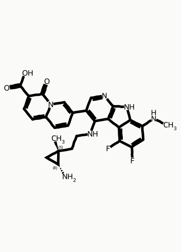 CNc1cc(F)c(F)c2c1[nH]c1ncc(-c3ccc4ccc(C(=O)O)c(=O)n4c3)c(NCC[C@@]3(C)C[C@H]3N)c12